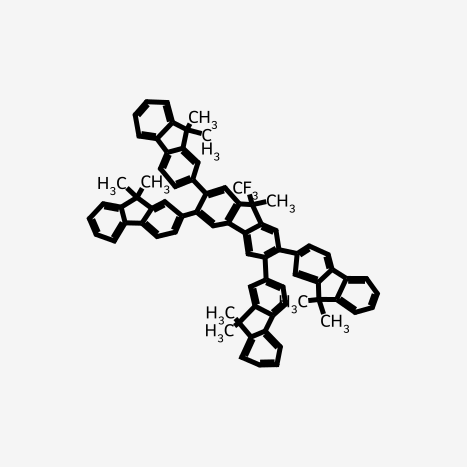 CC1(C)c2ccccc2-c2ccc(-c3cc4c(cc3-c3ccc5c(c3)C(C)(C)c3ccccc3-5)C(C)(C(F)(F)F)c3cc(-c5ccc6c(c5)C(C)(C)c5ccccc5-6)c(-c5ccc6c(c5)C(C)(C)c5ccccc5-6)cc3-4)cc21